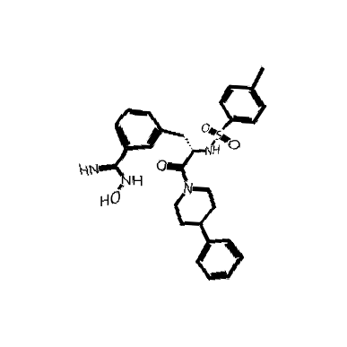 Cc1ccc(S(=O)(=O)N[C@@H](Cc2cccc(C(=N)NO)c2)C(=O)N2CCC(c3ccccc3)CC2)cc1